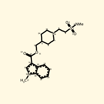 CNS(=O)(=O)CCN1CCC(COC(=O)c2cn(C)c3ccccc23)CC1